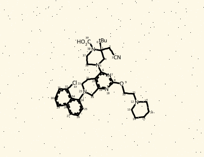 CC(C)(C)[C@@]1(CC#N)CN(c2nc(OCCN3CCCCC3)nc3c2CCN(c2cccc4cccc(Cl)c24)C3)CCN1C(=O)O